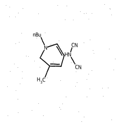 CCCCN1C=CC=C(C)C1.N#CNC#N